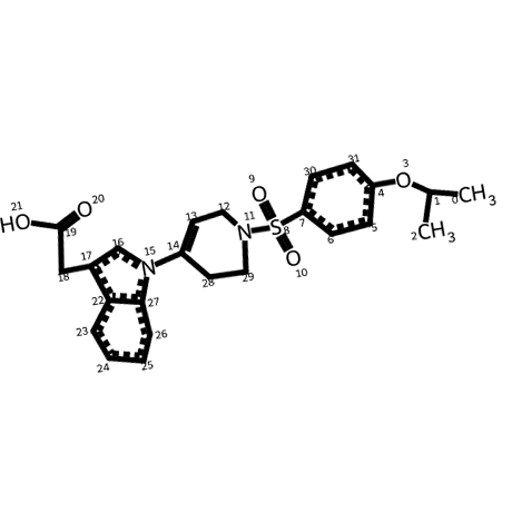 CC(C)Oc1ccc(S(=O)(=O)N2CC=C(n3cc(CC(=O)O)c4ccccc43)CC2)cc1